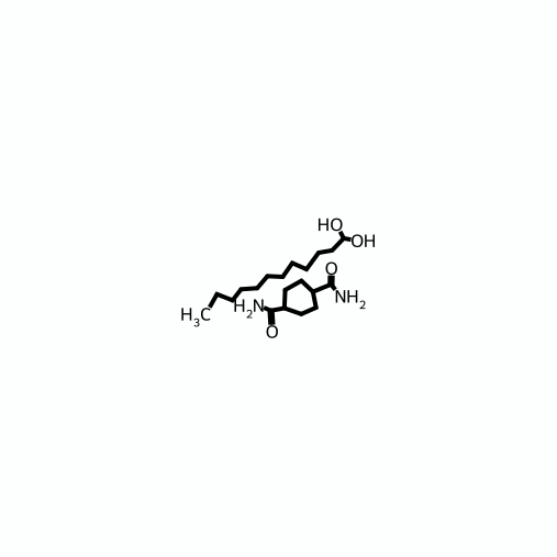 CCCCCCCCCCCC(O)O.NC(=O)C1CCC(C(N)=O)CC1